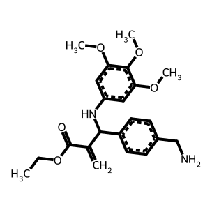 C=C(C(=O)OCC)C(Nc1cc(OC)c(OC)c(OC)c1)c1ccc(CN)cc1